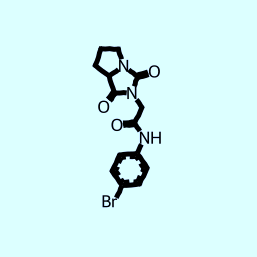 O=C(CN1C(=O)C2CCCN2C1=O)Nc1ccc(Br)cc1